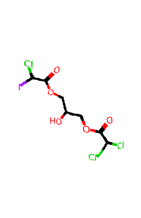 O=C(OCC(O)COC(=O)C(Cl)I)C(Cl)Cl